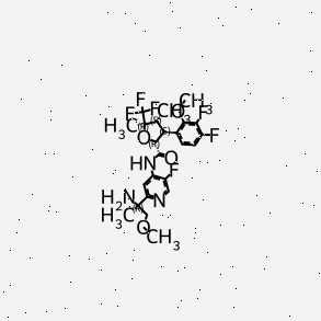 COC[C@](C)(N)c1cc(NC(=O)[C@@H]2O[C@@](C)(C(F)(F)F)[C@@H](C)[C@H]2c2ccc(F)c(F)c2OC)c(F)cn1